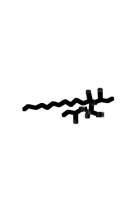 CCC(=O)O.CCCCCCCCCCCC(=O)OC(=O)CC.O=[SH](=O)O